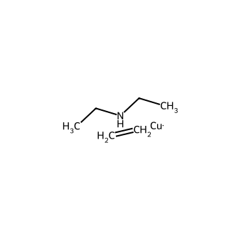 C=C.CCNCC.[Cu]